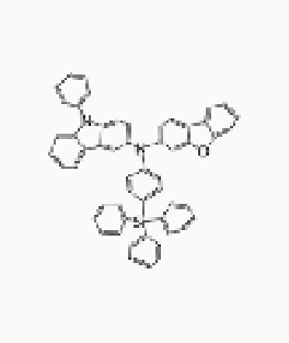 c1ccc(-n2c3ccccc3c3cc(N(c4ccc([Si](c5ccccc5)(c5ccccc5)c5ccccc5)cc4)c4ccc5c(c4)oc4ccccc45)ccc32)cc1